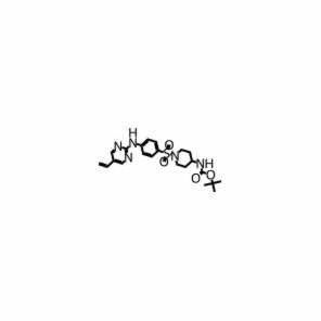 C=Cc1cnc(Nc2ccc(S(=O)(=O)N3CCC(NC(=O)OC(C)(C)C)CC3)cc2)nc1